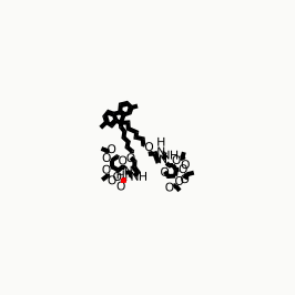 CC(=O)OC1COC(N2C=C(COCCCCCCC3(CCCCCCOCC4=CNNN4C4OCC(OC(C)=O)C(OC(C)=O)C4OC(C)=O)c4cc(C)ccc4-c4ccc(C)cc43)NN2)C(OC(C)=O)C1OC(C)=O